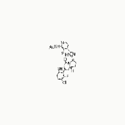 CC(=O)Nc1nccc(-c2cnc([C@@H]3CC[C@@H]4CC(c5c(N)ccc(Cl)c5F)=CC(=O)N43)[nH]2)c1F